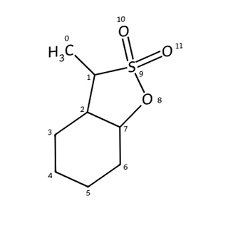 CC1C2CCCCC2OS1(=O)=O